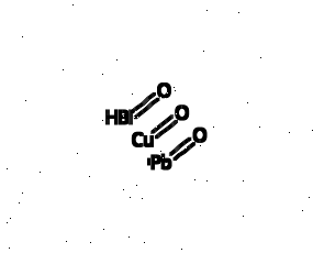 [O]=[BiH].[O]=[Cu].[O]=[Pb]